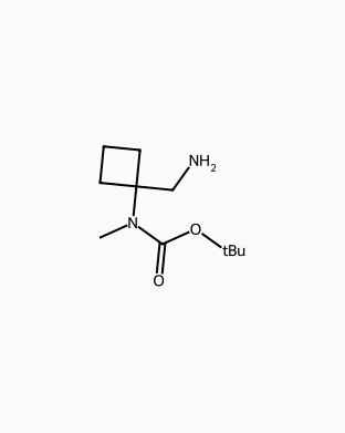 CN(C(=O)OC(C)(C)C)C1(CN)CCC1